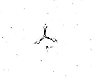 [O-]B([O-])[O-].[Pr+3]